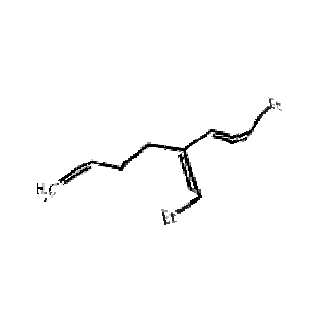 C=CCCC(C=CCC)=CCC